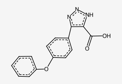 O=C(O)c1[nH]nnc1-c1ccc(Oc2ccccc2)cc1